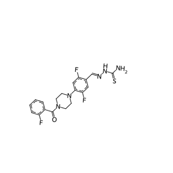 NC(=S)NN=Cc1cc(F)c(N2CCN(C(=O)c3ccccc3F)CC2)cc1F